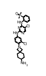 CP(C)(=O)c1ccccc1Nc1nc(Nc2ccc(N3CC4(CCC(N)CC4)C3)c(Cl)c2)ncc1Cl